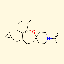 C=C(C)N1CCC2(CCC(CC3CC3)C(/C=C\C)=C(CC)O2)CC1